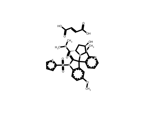 COc1ccc2c(c1)C(c1cccnc1OC)(N1C[C@H](O)C[C@H]1C(=O)N(C)C)C(=O)N2S(=O)(=O)c1cccs1.O=C(O)/C=C/C(=O)O